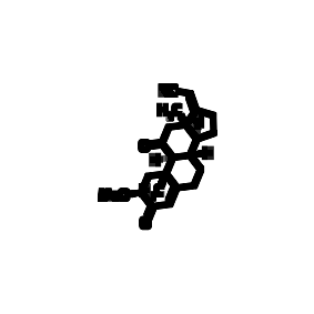 CO[C@H]1C[C@@]2(C)C(=CC1=O)CC[C@@H]1[C@@H]2C(=O)C[C@]2(C)/C(=C\C#N)CC[C@@H]12